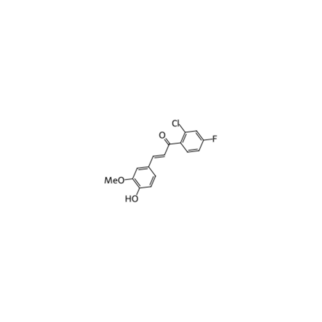 COc1cc(/C=C/C(=O)c2ccc(F)cc2Cl)ccc1O